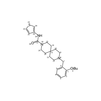 CC(C)COc1ccccc1CN1CCC2(CC1)CCN(C(=O)Nc1ccsc1)CC2